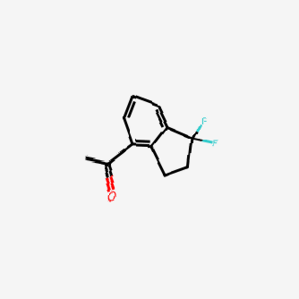 CC(=O)c1cccc2c1CCC2(F)F